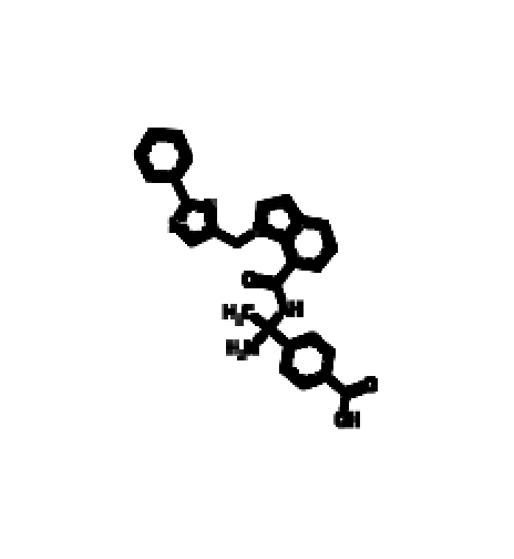 CC(N)(NC(=O)c1cccc2ccn(Cc3csc(-c4ccccc4)n3)c12)c1ccc(C(=O)O)cc1